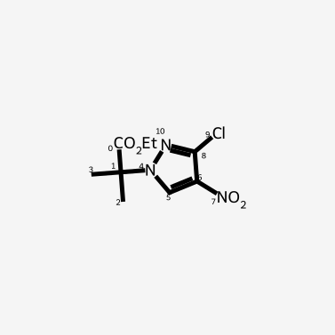 CCOC(=O)C(C)(C)n1cc([N+](=O)[O-])c(Cl)n1